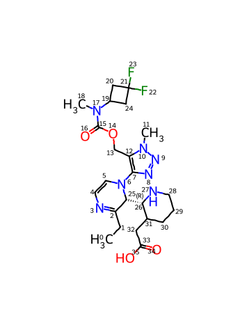 CCC1=NC=CN(c2nnn(C)c2COC(=O)N(C)C2CC(F)(F)C2)C1[C@@H]1NCCCC1CC(=O)O